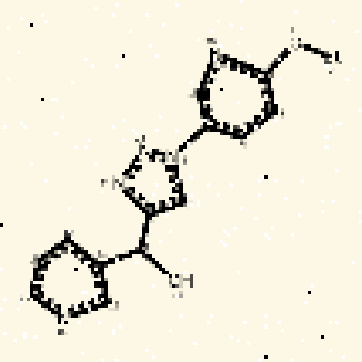 CCOc1ccc(-n2cc(C(O)c3cccnc3)nn2)cn1